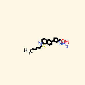 CCCCCc1nc2c(s1)-c1ccc(C3CCC(N)(CO)C3)cc1CC2